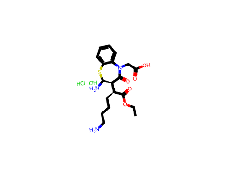 CCOC(=O)[C@@H](CCCCN)[C@@H]1C(=O)N(CC(=O)O)c2ccccc2SC1N.Cl.Cl